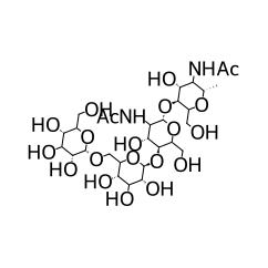 CC(=O)NC1[C@H](O[C@@H]2C(CO)O[C@@H](C)C(NC(C)=O)[C@H]2O)OC(CO)[C@@H](O[C@@H]2OC(CO[C@H]3OC(CO)[C@@H](O)C(O)[C@H]3O)[C@@H](O)C(O)[C@H]2O)[C@@H]1O